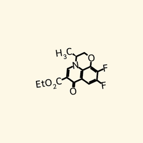 CCOC(=O)c1cn2c3c(c(F)c(F)cc3c1=O)OC[C@@H]2C